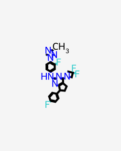 Cc1ncn(-c2ccc(Nc3nc4c(c(N5CC(F)(F)C5)n3)CCC4c3ccc(F)cc3)cc2F)n1